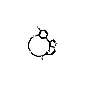 Fc1ccc2cc1OCCCOCCNc1ccn3ncc-2c3n1